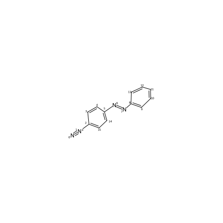 N#[N+]c1ccc(N=Nc2ccccc2)cc1